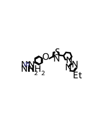 CCc1cnc(N2CCCC(c3nc(COc4ccc(N(N)/C=N\N)cc4)cs3)C2)nc1